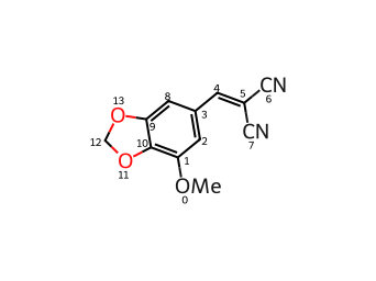 COc1cc(C=C(C#N)C#N)cc2c1OCO2